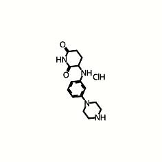 Cl.O=C1CCC(Nc2cccc(N3CCNCC3)c2)C(=O)N1